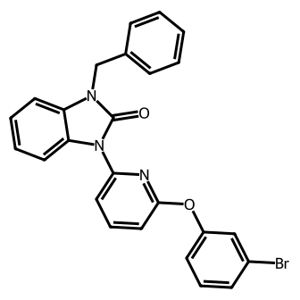 O=c1n(Cc2ccccc2)c2ccccc2n1-c1cccc(Oc2cccc(Br)c2)n1